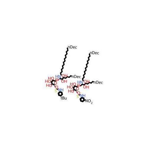 CCCCCCCCCCCCCCCCCCCCCCCCCCNC(CO[C@H]1O[C@H](COC(=S)Nc2cccc([N+](=O)[O-])c2)[C@H](O)[C@H](O)[C@H]1O)C(O)C(O)CCCCCCCCCCCCCC.CCCCCCCCCCCCCCCCCCCCCCCCCCN[C@@H](CO[C@H]1O[C@H](COC(=S)Nc2ccc(C(C)(C)C)cc2)[C@H](O)[C@H](O)[C@H]1O)[C@H](O)[C@H](O)CCCCCCCCCCCCCC